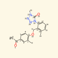 Cc1cc(C(=O)C(C)C)ccc1OCc1c(C)cccc1-n1nnn(C)c1=O